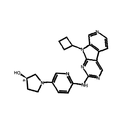 O[C@@H]1CCN(c2ccc(Nc3ncc4c5ccncc5n(C5CCC5)c4n3)nc2)C1